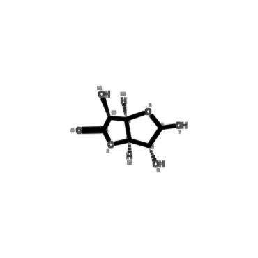 O=C1O[C@H]2[C@H](OC(O)[C@@H]2O)[C@@H]1O